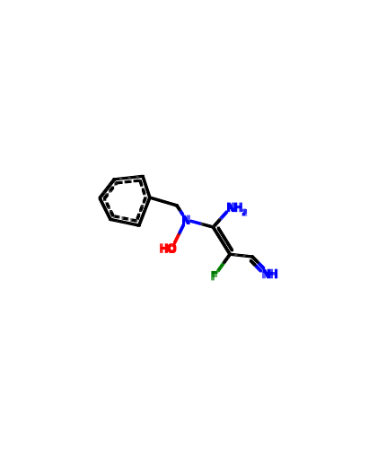 N=C/C(F)=C(\N)N(O)Cc1ccccc1